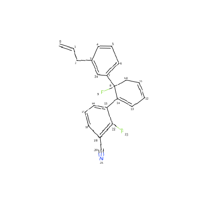 C=CCc1cccc(C2(F)CC=CC=C2c2cccc(C#N)c2F)c1